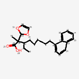 CCC(CCCCCc1cccc2ccccc12)C(C)(C(=O)O)C1OC=CO1